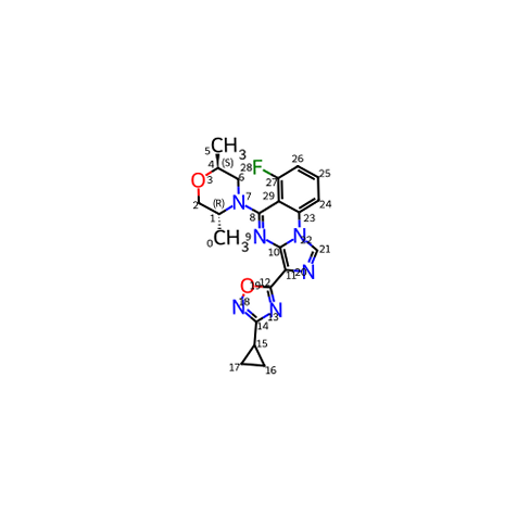 C[C@@H]1CO[C@@H](C)CN1c1nc2c(-c3nc(C4CC4)no3)ncn2c2cccc(F)c12